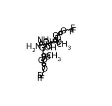 COc1cc(/C=C/C(=O)C(O)C(c2cc(N)cc(N)c2)C(O)C(=O)/C=C/c2ccc(OC(=O)c3ccc(OCCCCC(F)(F)F)cc3)c(OC)c2)ccc1OC(=O)c1ccc(OCCCCC(F)(F)F)cc1